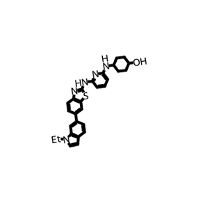 CCn1ccc2ccc(-c3ccc4nc(Nc5cccc(NC6CCC(O)CC6)n5)sc4c3)cc21